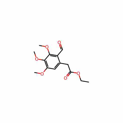 CCOC(=O)Cc1cc(OC)c(OC)c(OC)c1C=O